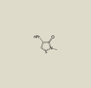 CCCc1csn(C)c1=O